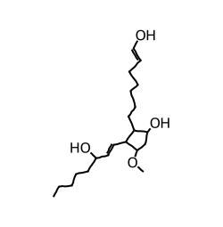 CCCCCC(O)/C=C/C1C(OC)CC(O)C1CCCCCC=CO